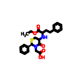 CCOC(=O)C(CCc1ccccc1)NC1CS[C@H](c2ccccc2)N(CC(=O)O)C1=O